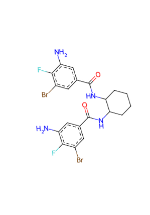 Nc1cc(C(=O)NC2CCCCC2NC(=O)c2cc(N)c(F)c(Br)c2)cc(Br)c1F